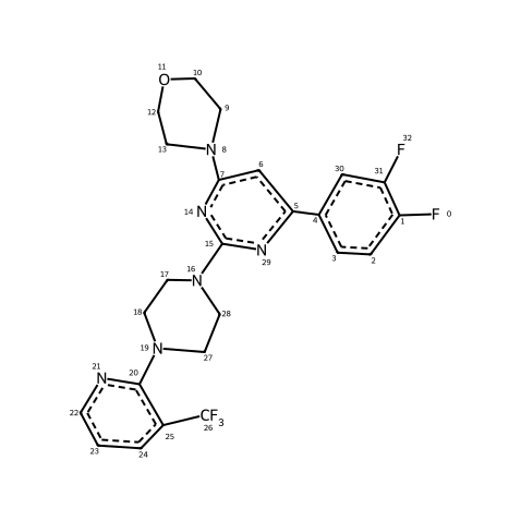 Fc1ccc(-c2cc(N3CCOCC3)nc(N3CCN(c4ncccc4C(F)(F)F)CC3)n2)cc1F